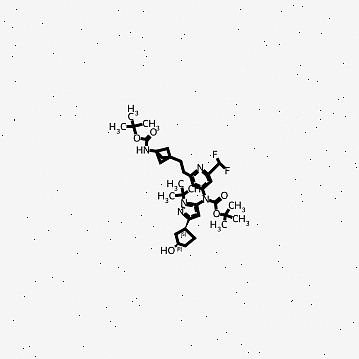 CC(C)(C)OC(=O)NC12CC(CCc3cc(N(C(=O)OC(C)(C)C)c4cc([C@H]5CC[C@@H](O)C5)nn4C(C)(C)C)cc(C(F)F)n3)(C1)C2